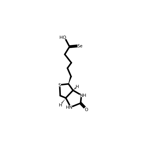 O=C1N[C@H]2[C@H](CS[C@H]2CCCCC(O)=[Se])N1